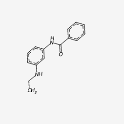 CCNc1cccc(NC(=O)c2ccccc2)c1